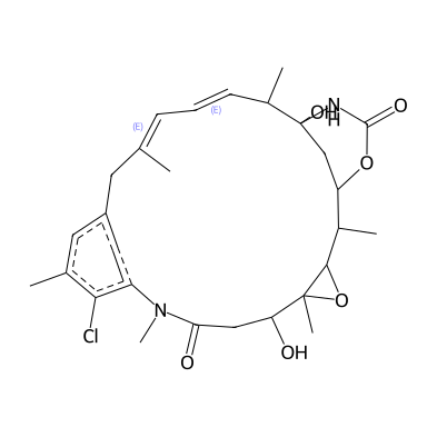 C/C1=C\C=C\C(C)C2(O)CC(OC(=O)N2)C(C)C2OC2(C)C(O)CC(=O)N(C)c2cc(cc(C)c2Cl)C1